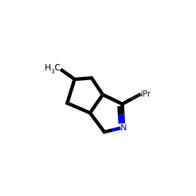 CC1CC2CN=C(C(C)C)C2C1